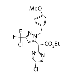 CCOC(=O)C(c1ncc(Cl)cn1)c1cc(C(F)(F)Cl)nn1Cc1ccc(OC)cc1